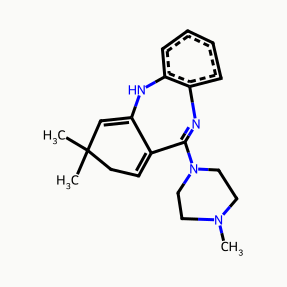 CN1CCN(C2=Nc3ccccc3NC3=CC(C)(C)CC=C32)CC1